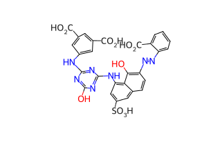 O=C(O)c1cc(Nc2nc(O)nc(Nc3cc(S(=O)(=O)O)cc4ccc(/N=N/c5ccccc5C(=O)O)c(O)c34)n2)cc(C(=O)O)c1